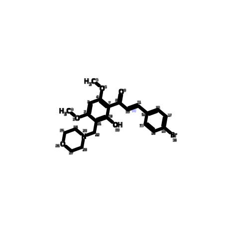 COc1cc(OC)c(C(=O)/C=C/c2ccc(Br)cc2)c(O)c1CN1CCOCC1